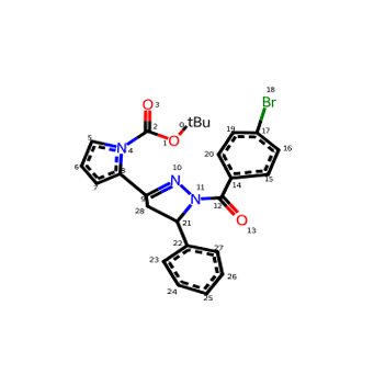 CC(C)(C)OC(=O)n1cccc1C1=NN(C(=O)c2ccc(Br)cc2)C(c2ccccc2)C1